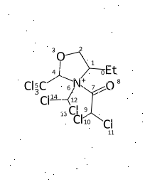 CCC1COC(C(Cl)(Cl)Cl)[N+]1(C(=O)C(Cl)Cl)C(Cl)Cl